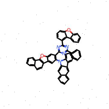 c1ccc(-c2nc(-c3cc4oc5c6ccccc6ccc5c4cc3-n3c4ccccc4c4cc5ccccc5cc43)nc(-c3cccc4oc5ccccc5c34)n2)cc1